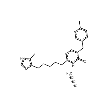 Cc1ccc(Cc2cnc(CCCSCc3nc[nH]c3C)[nH]c2=O)cn1.Cl.Cl.Cl.O